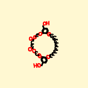 O=C1CCC(=O)OCOc2cc(CO)ccc2OCCCCCCCCOc2ccc(CO)cc2OCO1